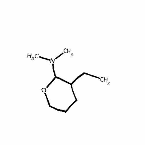 CCC1CCCOC1N(C)C